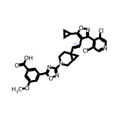 COc1cc(C(=O)O)cc(-c2nc(N3CCC4(/C=C/c5c(-c6c(Cl)cncc6Cl)noc5C5CC5)CC4C3)no2)c1